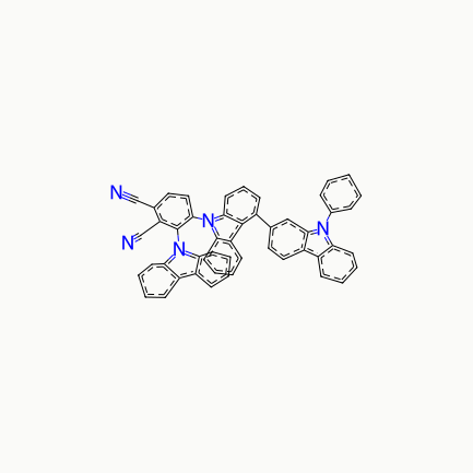 N#Cc1ccc(-n2c3ccccc3c3c(-c4ccc5c6ccccc6n(-c6ccccc6)c5c4)cccc32)c(-n2c3ccccc3c3ccccc32)c1C#N